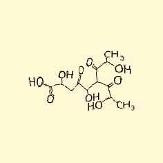 CC(O)C(=O)C(C(=O)C(C)O)C(O)C(=O)CC(O)C(=O)O